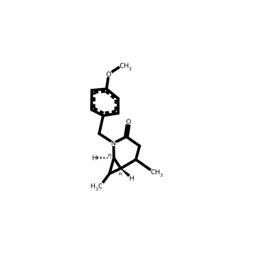 COc1ccc(CN2C(=O)CC(C)[C@@H]3C(C)[C@H]32)cc1